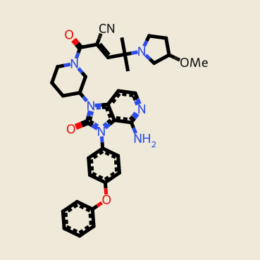 COC1CCN(C(C)(C)C=C(C#N)C(=O)N2CCCC(n3c(=O)n(-c4ccc(Oc5ccccc5)cc4)c4c(N)nccc43)C2)C1